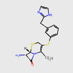 N[C@@H]1C(=O)N2C(C(=O)O)=C(Sc3cccc(Cc4ncc[nH]4)c3)CS[C@@H]12